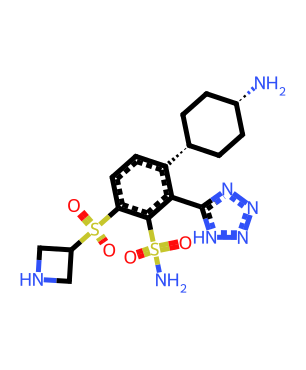 NS(=O)(=O)c1c(S(=O)(=O)C2CNC2)ccc([C@H]2CC[C@@H](N)CC2)c1-c1nnn[nH]1